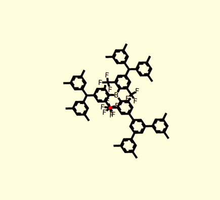 Cc1cc(C)cc(-c2cc(-c3cc(C)cc(C)c3)cc(-c3cc(C)c(B(c4c(C)cc(C(c5cc(C)cc(C)c5)c5cc(C)cc(C)c5)cc4C(F)(F)F)c4c(C(F)(F)F)cc(C(c5cc(C)cc(C)c5)c5cc(C)cc(C)c5)cc4C(F)(F)F)c(C(F)(F)F)c3)c2)c1